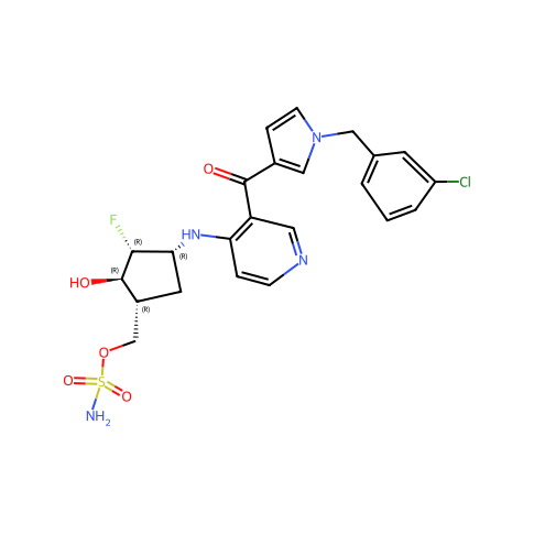 NS(=O)(=O)OC[C@H]1C[C@@H](Nc2ccncc2C(=O)c2ccn(Cc3cccc(Cl)c3)c2)[C@@H](F)[C@@H]1O